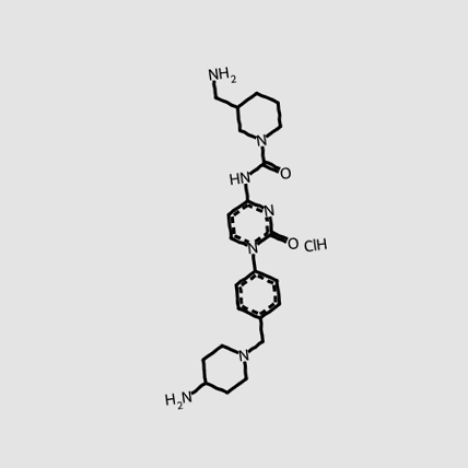 Cl.NCC1CCCN(C(=O)Nc2ccn(-c3ccc(CN4CCC(N)CC4)cc3)c(=O)n2)C1